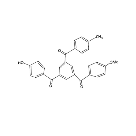 COc1ccc(C(=O)c2cc(C(=O)c3ccc(C)cc3)cc(C(=O)c3ccc(O)cc3)c2)cc1